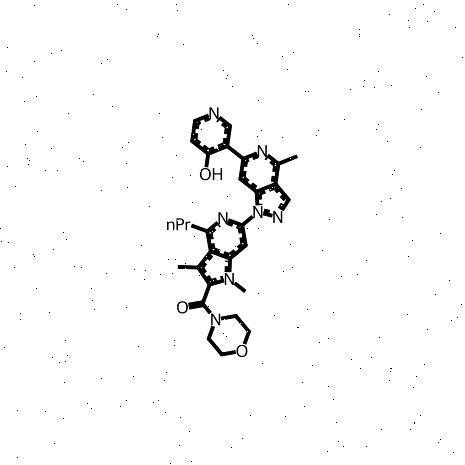 CCCc1nc(-n2ncc3c(C)nc(-c4cnccc4O)cc32)cc2c1c(C)c(C(=O)N1CCOCC1)n2C